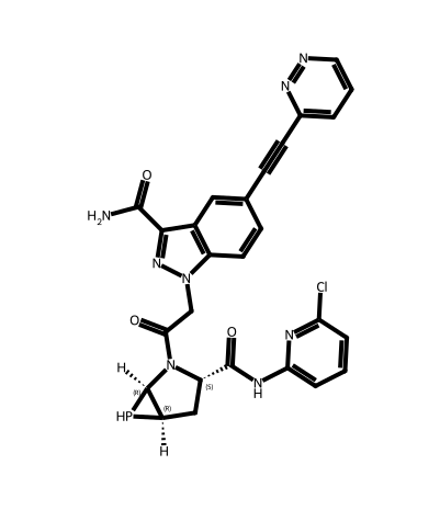 NC(=O)c1nn(CC(=O)N2[C@@H]3P[C@@H]3C[C@H]2C(=O)Nc2cccc(Cl)n2)c2ccc(C#Cc3cccnn3)cc12